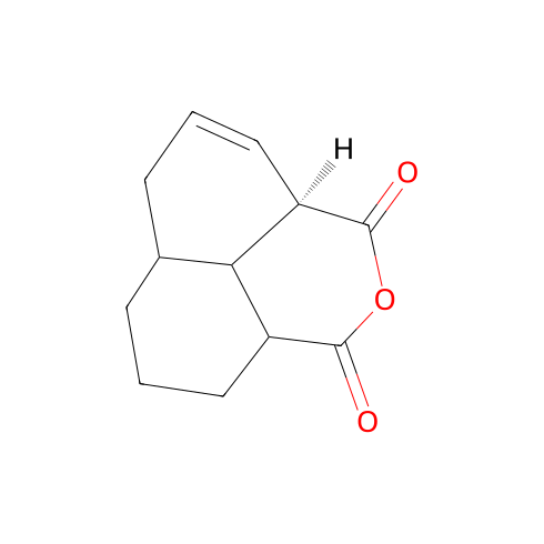 O=C1OC(=O)[C@@H]2C=CCC3CCCC1C32